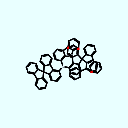 c1ccc(-c2ccccc2C2(c3ccccc3-c3ccccc3)c3ccccc3-c3c(N(c4cccc5c4-c4ccccc4C54c5ccccc5-c5ccccc54)c4cccc5c4oc4ccccc45)cccc32)cc1